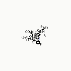 CCN(CC)CCNC(=O)c1c(C)[nH]c(/C=C2\C(=O)N(C(=O)[C@H](CCC(=O)OC(C)(C)C)NC(=O)CCC(=O)O)c3ccc(F)cc32)c1C